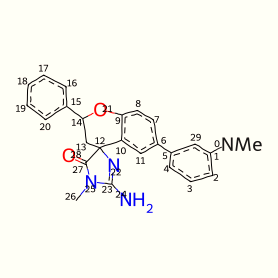 CNc1cccc(-c2ccc3c(c2)C2(CC(c4ccccc4)O3)N=C(N)N(C)C2=O)c1